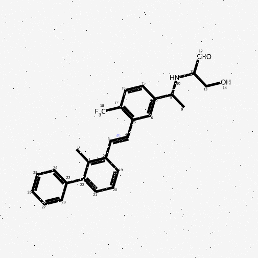 Cc1c(/C=C/c2cc(C(C)NC(C=O)CO)ccc2C(F)(F)F)cccc1-c1ccccc1